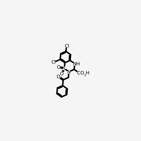 O=C(CN1C(C(=O)O)Nc2cc(Cl)cc(Cl)c2S1(=O)=O)c1ccccc1